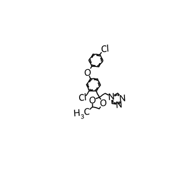 CC1COC(Cn2cnnc2)(c2ccc(Oc3ccc(Cl)cc3)cc2Cl)O1